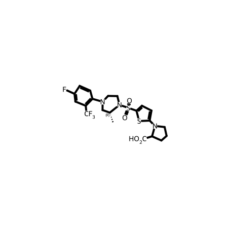 C[C@@H]1CN(c2ccc(F)cc2C(F)(F)F)CCN1S(=O)(=O)c1ccc(N2CCCC2C(=O)O)s1